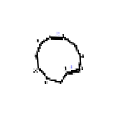 [CH]1C/C=C/CC/C=C\CCC1